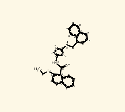 CCOc1ccc2ccccc2c1C(=O)Nc1nnc(NCc2cccc3ccccc23)s1